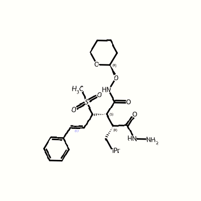 CC(C)C[C@@H](C(=O)NN)[C@@H](C(=O)NO[C@@H]1CCCCO1)C(/C=C/c1ccccc1)S(C)(=O)=O